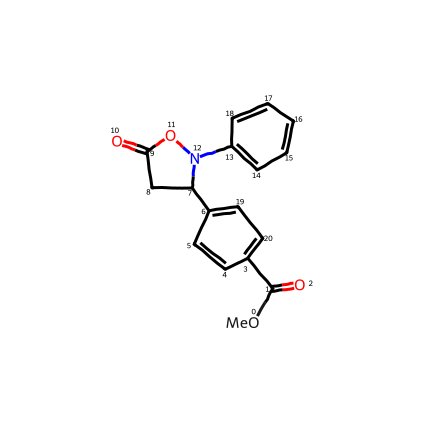 COC(=O)c1ccc(C2CC(=O)ON2c2ccccc2)cc1